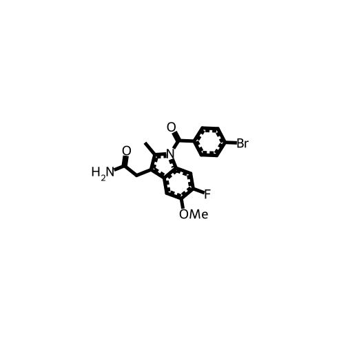 COc1cc2c(CC(N)=O)c(C)n(C(=O)c3ccc(Br)cc3)c2cc1F